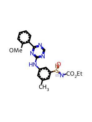 CCOC(=O)/N=[SH](=O)/c1cc(C)cc(Nc2ncnc(-c3ccccc3OC)n2)c1